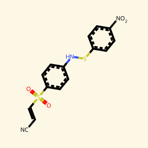 N#CC=CS(=O)(=O)c1ccc(NSc2ccc([N+](=O)[O-])cc2)cc1